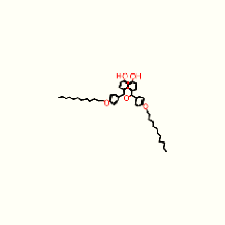 CCCCCCCCCCCCOc1ccc(C(OC(c2ccc(O)cc2)c2ccc(OCCCCCCCCCCCC)cc2)c2ccc(O)cc2)cc1